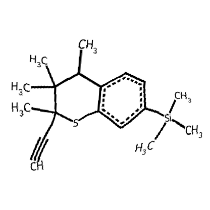 C#CC1(C)Sc2cc([Si](C)(C)C)ccc2C(C)C1(C)C